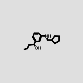 CCCC(O)c1cccc(NCC2CCCC2)c1